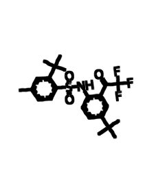 Cc1ccc(S(=O)(=O)Nc2ccc(C(C)(C)C)cc2C(=O)C(F)(F)F)c(C(C)(C)C)c1